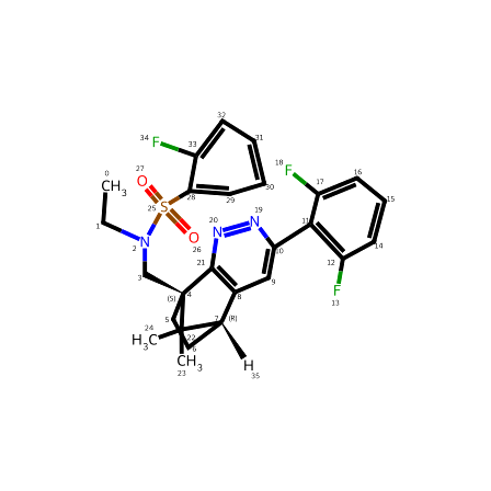 CCN(C[C@@]12CC[C@@H](c3cc(-c4c(F)cccc4F)nnc31)C2(C)C)S(=O)(=O)c1ccccc1F